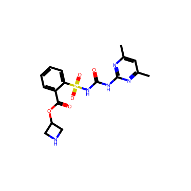 Cc1cc(C)nc(NC(=O)NS(=O)(=O)c2ccccc2C(=O)OC2CNC2)n1